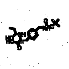 CCC(O)N[C@H](Cc1ccc(CNC(=O)OC(C)(C)C)cc1)C(=O)O